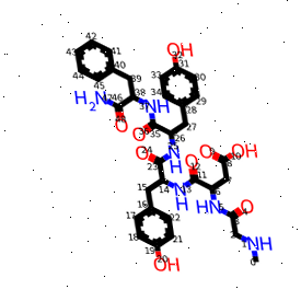 CNCC(=O)NC(CC(=O)O)C(=O)NC(Cc1ccc(O)cc1)C(=O)NC(Cc1ccc(O)cc1)C(=O)NC(Cc1ccccc1)C(N)=O